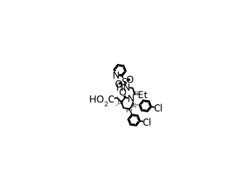 CC[C@@H](CNS(=O)(=O)c1ccccn1)N1C(=O)[C@](C)(CC(=O)O)C[C@H](c2cccc(Cl)c2)[C@H]1c1ccc(Cl)cc1